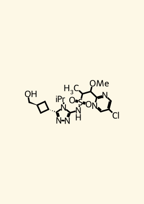 COC(c1ncc(Cl)cn1)C(C)S(=O)(=O)Nc1nnc([C@H]2C[C@H](CO)C2)n1C(C)C